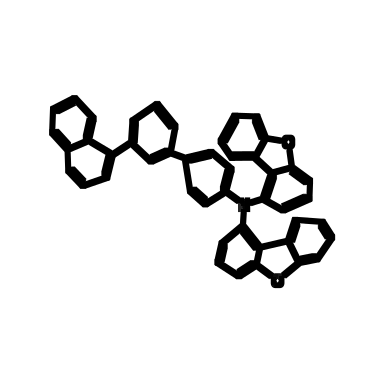 c1cc(-c2ccc(N(c3cccc4oc5ccccc5c34)c3cccc4oc5ccccc5c34)cc2)cc(-c2cccc3ccccc23)c1